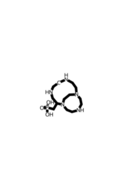 O=P(O)(O)CC1CNCCNCCN2CCNCCN1CC2